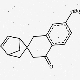 CCCCc1ccc2c(c1)CC1(CC2=O)CC2C=CC1C2